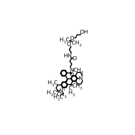 CC[N+]1=c2cc3c(cc2C(C)CC1(C)C)=C(c1ccccc1C(=O)N(C)CCCC(=O)NCCCOC(C)(C)OCCCO)c1cc2c4c(c1C3(C)C)CCCN4CCC2